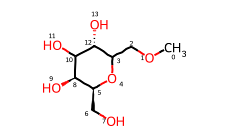 COCC1O[C@@H](CO)[C@@H](O)C(O)[C@@H]1O